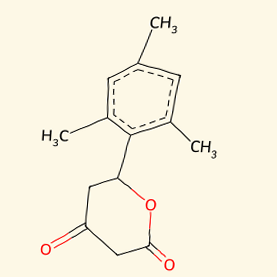 Cc1cc(C)c(C2CC(=O)CC(=O)O2)c(C)c1